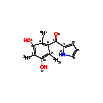 [2H]c1c(O)c([2H])c(C(=O)c2ccc[nH]2)c([2H])c1O